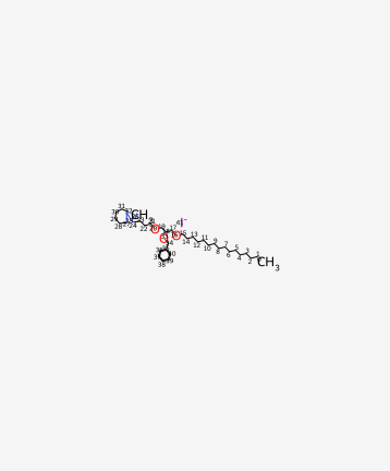 CCCCCCCCCCCCCCCCOCC(COCCCC[N+]1(C)CCCCCC1)OCc1ccccc1.[I-]